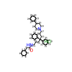 Cl.O=C(Cc1ccccc1)NCCCC(CCCN1CCC(c2ccccc2)CC1)(c1ccccc1)c1ccccc1